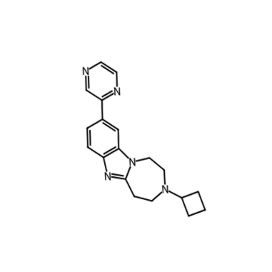 c1cnc(-c2ccc3nc4n(c3c2)CCN(C2CCC2)CC4)cn1